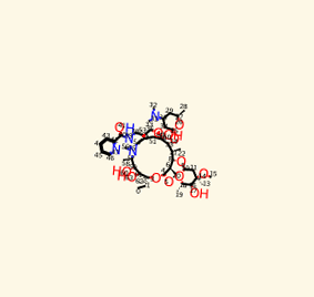 CC[C@H]1OC(=O)[C@H](C)[C@@H](O[C@H]2C[C@@](C)(OC)[C@@H](O)[C@H](C)O2)[C@H](C)[C@@H](O[C@@H]2O[C@H](C)C[C@H](N(C)C)[C@H]2OCCCNC(=O)c2ccccn2)[C@](C)(O)C[C@@H](C)CN(C)[C@H](C)[C@@H](O)[C@]1(C)O